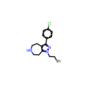 CC(C)CCn1nc(-c2ccc(Cl)cc2)c2c1CCNCC2